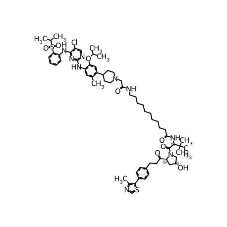 Cc1cc(Nc2ncc(Cl)c(Nc3ccccc3S(=O)(=O)C(C)C)n2)c(OC(C)C)cc1C1CCN(CC(=O)NCCCCCCCCCCC(=O)N[C@H](C(=O)N2C[C@H](O)C[C@H]2C(=O)CCc2ccc(-c3scnc3C)cc2)C(C)(C)C)CC1